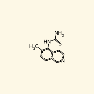 Cc1ccc2cnccc2c1NC(N)=S